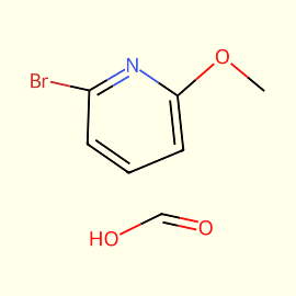 COc1cccc(Br)n1.O=CO